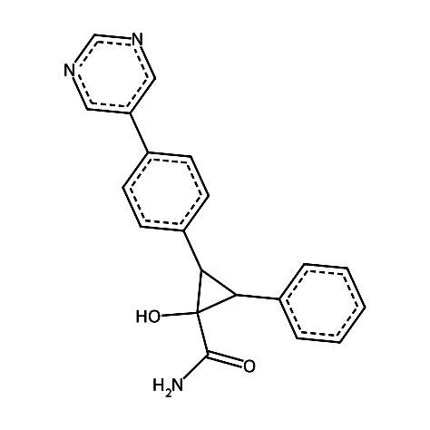 NC(=O)C1(O)C(c2ccccc2)C1c1ccc(-c2cncnc2)cc1